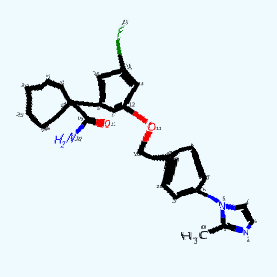 Cc1nccn1-c1ccc(COc2cc(F)cc(C3(C(N)=O)CCCCC3)c2)cc1